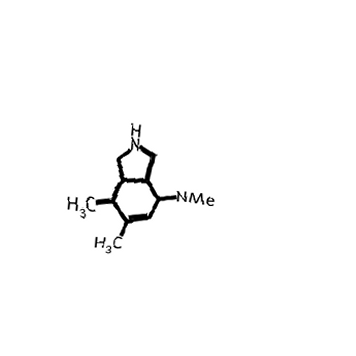 CNC1C=C(C)C(C)C2CNCC12